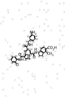 Cc1c(C(=O)O)ccc2c1CC[C@@H]2NC(=O)c1cc(C(=O)NCc2cccc(N)c2)nc2c(C(=O)Nc3ccccc3Cl)cnn12